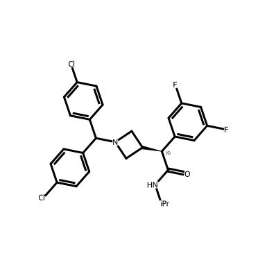 CC(C)NC(=O)[C@H](c1cc(F)cc(F)c1)C1CN(C(c2ccc(Cl)cc2)c2ccc(Cl)cc2)C1